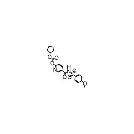 COc1ccc(S(=O)(=O)NC(=O)c2ccc(OC(=O)OC3CCCC3)nc2)cc1